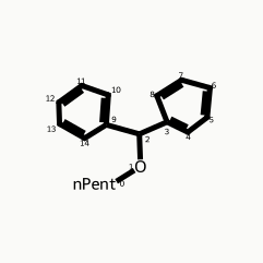 [CH2]CCCCOC(c1ccccc1)c1ccccc1